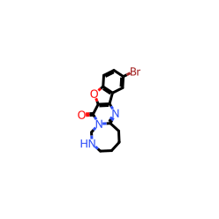 O=c1c2oc3ccc(Br)cc3c2nc2n1CNCCCC2